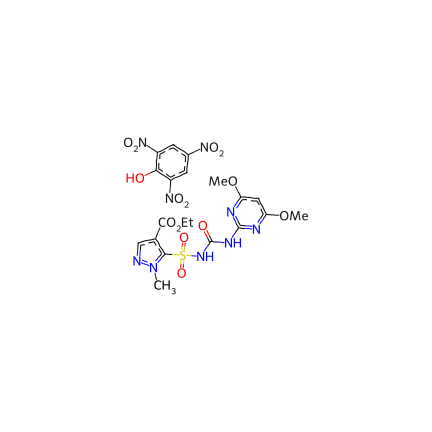 CCOC(=O)c1cnn(C)c1S(=O)(=O)NC(=O)Nc1nc(OC)cc(OC)n1.O=[N+]([O-])c1cc([N+](=O)[O-])c(O)c([N+](=O)[O-])c1